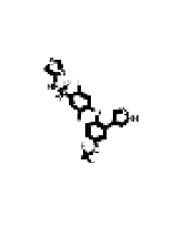 O=S(=O)(Nc1cscn1)c1cc(F)c(Oc2ccc(OC(F)(F)F)cc2-c2cn[nH]c2)cc1F